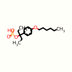 CCCCCCOc1ccc(C(CC)(CC)O[PH](=O)O)cc1